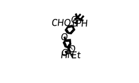 CCNS(=O)(=O)c1ccc(Oc2ccc(B3OC(C)(C)C(C)(C)P3)c(C=O)c2)cc1